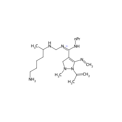 C=NC1=C(/C(=N\CNC(C)CCCCN)NCCC)CN(C)N1C(=C)C